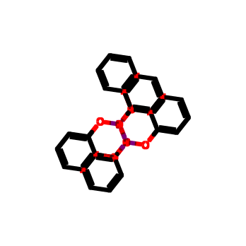 c1ccc(OP(Oc2ccccc2)Oc2ccccc2OP(Oc2ccccc2)Oc2ccccc2)cc1